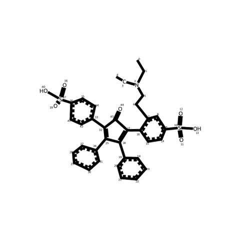 CCN(CC)CCc1cc(S(=O)(=O)O)ccc1C1=C(c2ccccc2)C(c2ccccc2)=C(c2ccc(S(=O)(=O)O)cc2)C1=O